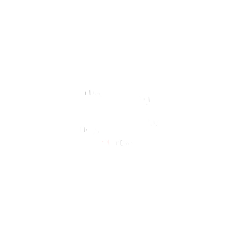 CCCCCCCCCCCC/C(C(=O)O)=C(\CCCCCCCCCCCC)C(=O)O.O=S(=O)(O)O